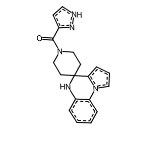 O=C(c1cc[nH]n1)N1CCC2(CC1)Nc1ccccc1-n1cccc12